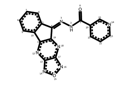 O=C(N/N=C1/c2ccccc2-c2nc3nonc3nc21)c1cccnc1